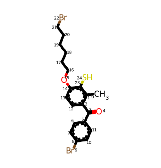 Cc1c(C(=O)c2ccc(Br)cc2)ccc(OCCCCCCBr)c1S